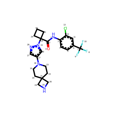 O=C(Nc1ccc(C(F)(F)F)cc1Cl)C1(n2cc(N3CCC4(CC3)CNC4)cn2)CCC1